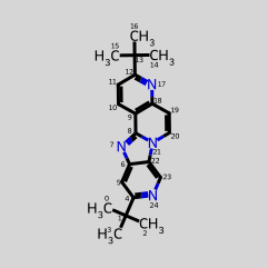 CC(C)(C)c1cc2nc3c4ccc(C(C)(C)C)nc4ccn3c2cn1